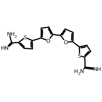 N=C(N)c1ccc(-c2ccc(-c3ccc(-c4ccc(C(=N)N)s4)o3)o2)s1